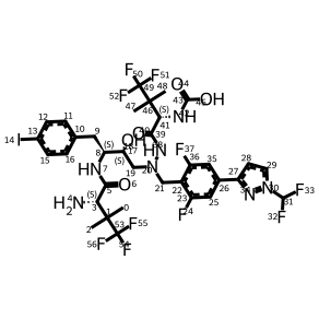 CC(C)([C@H](N)C(=O)N[C@@H](Cc1ccc(I)cc1)[C@@H](O)CN(Cc1c(F)cc(-c2ccn(C(F)F)n2)cc1F)NC(=O)[C@@H](NC(=O)O)C(C)(C)C(F)(F)F)C(F)(F)F